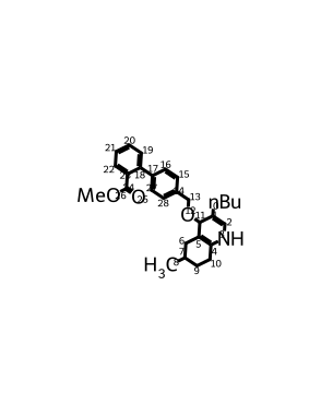 CCCCC1=CNC2=C(CC(C)CC2)C1OCc1ccc(-c2ccccc2C(=O)OC)cc1